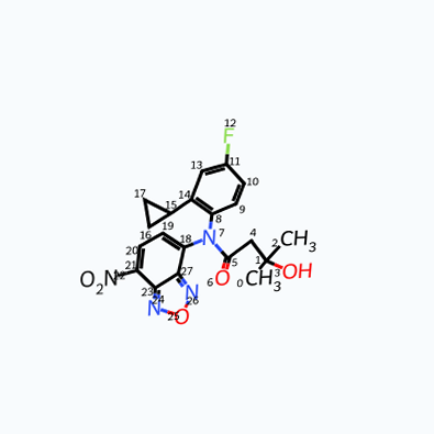 CC(C)(O)CC(=O)N(c1ccc(F)cc1C1CC1)c1ccc([N+](=O)[O-])c2nonc12